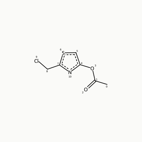 CC(=O)Oc1csc(CCl)n1